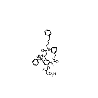 CN(C(=O)OCc1ccccc1)c1cc(C(CC(=O)NCCCCc2ccccc2)NS(=O)(=O)c2ccccc2)ccc1OC(F)C(=O)O